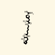 N=C(N)N1CC=C(CC(N)C(=O)NCCCCCC(=O)NC(Cc2ccco2)C(=O)O)C1